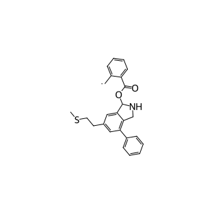 [CH2]c1ccccc1C(=O)OC1NCc2c(-c3ccccc3)cc(CCSC)cc21